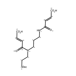 CCCCCCCCCCCCN(CCCNC(=O)C=CC(=O)O)C(=O)C=CC(=O)O